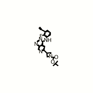 C#Cc1cccc(Nc2ncnc3cnc(C4CN(C(=O)OC(C)(C)C)C4)cc23)c1F